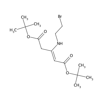 CC(C)(C)OC(=O)C=C(CC(=O)OC(C)(C)C)NCCBr